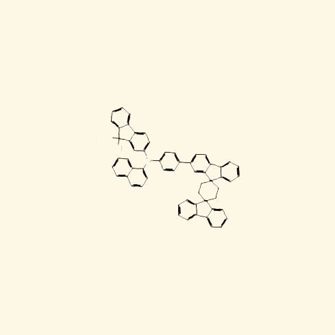 CC1(C)c2ccccc2-c2ccc(N(c3ccc(-c4ccc5c(c4)C4(CCC6(CC4)c4ccccc4-c4ccccc46)c4ccccc4-5)cc3)c3cccc4ccccc34)cc21